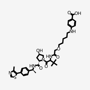 Cc1ncsc1-c1ccc([C@H](C)NC(=O)[C@@H]2C[C@@H](O)CN2C(=O)C(NC(=O)COCCCCCNc2ccc(C(=O)O)cc2)C(C)(C)C)cc1